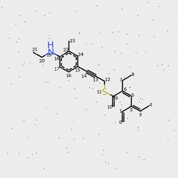 C=CC(=C/C)/C=C(/CC)C(=C)SCC#Cc1ccc(NCC)c(C)c1